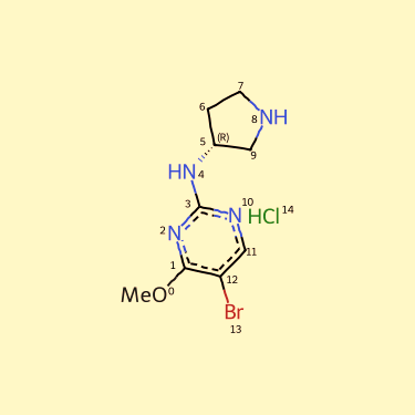 COc1nc(N[C@@H]2CCNC2)ncc1Br.Cl